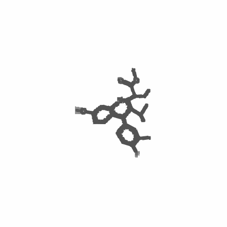 CCC(C(=O)OC)c1nc2cc(O)ccc2c(-c2ccc(F)c(C)c2)c1C(C)C